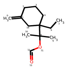 C=C1CCCC(CC)(C(C)(C)OC=O)C1